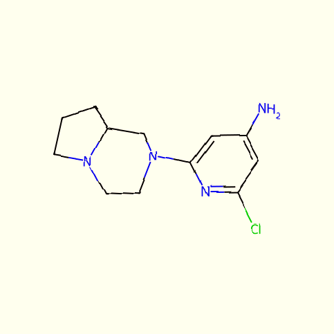 Nc1cc(Cl)nc(N2CCN3CCCC3C2)c1